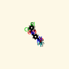 CON(Cc1ccc(-c2noc(C(F)(F)F)n2)cc1)C(=O)c1ccc(Cl)cc1Cl